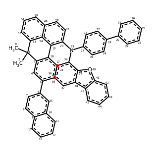 CC1(C)c2cc(-c3ccc4ccccc4c3)ccc2-c2c(N(c3ccc(-c4ccccc4)cc3)c3cccc4c3oc3ccccc34)ccc3cccc1c23